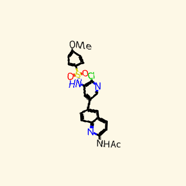 COc1ccc(S(=O)(=O)Nc2cc(-c3ccc4nc(NC(C)=O)ccc4c3)cnc2Cl)cc1